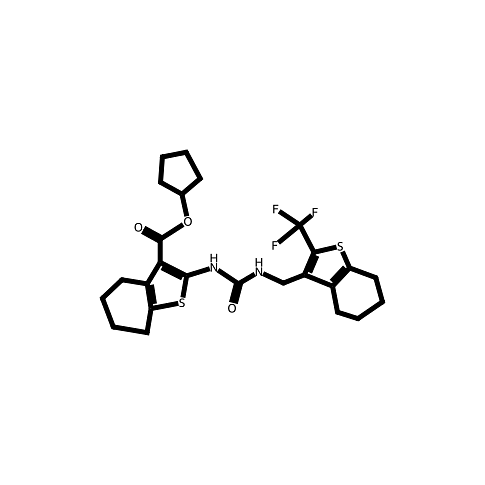 O=C(NCc1c(C(F)(F)F)sc2c1CCCC2)Nc1sc2c(c1C(=O)OC1CCCC1)CCCC2